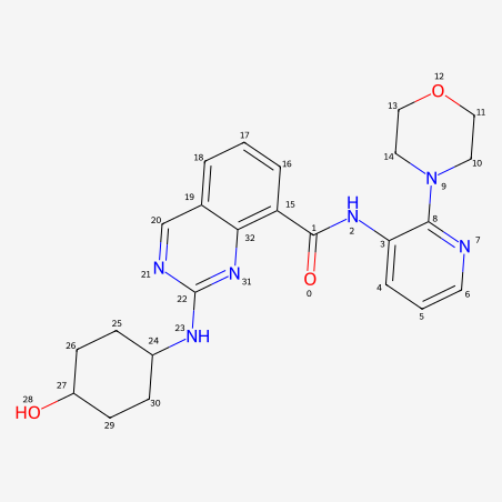 O=C(Nc1cccnc1N1CCOCC1)c1cccc2cnc(NC3CCC(O)CC3)nc12